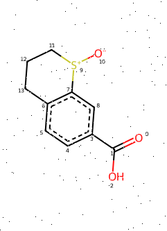 O=C(O)c1ccc2c(c1)[S+]([O-])CCC2